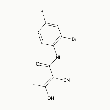 C/C(O)=C(/C#N)C(=O)Nc1ccc(Br)cc1Br